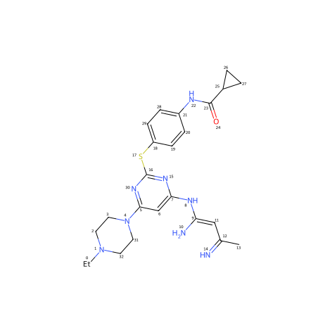 CCN1CCN(c2cc(N/C(N)=C/C(C)=N)nc(Sc3ccc(NC(=O)C4CC4)cc3)n2)CC1